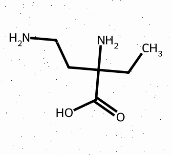 CCC(N)(CCN)C(=O)O